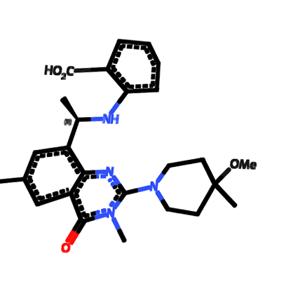 COC1(C)CCN(c2nc3c([C@@H](C)Nc4ccccc4C(=O)O)cc(C)cc3c(=O)n2C)CC1